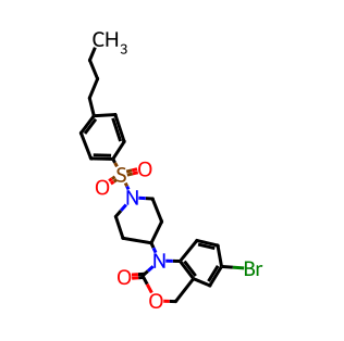 CCCCc1ccc(S(=O)(=O)N2CCC(N3C(=O)OCc4cc(Br)ccc43)CC2)cc1